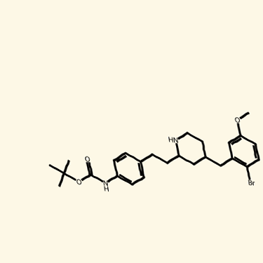 COc1ccc(Br)c(CC2CCNC(CCc3ccc(NC(=O)OC(C)(C)C)cc3)C2)c1